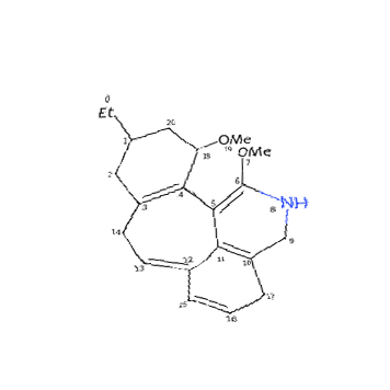 CCC1CC2=C(C3=C(OC)NCC4=C3C(=CC2)C=CC4)C(OC)C1